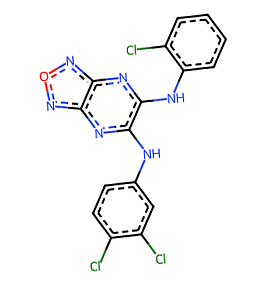 Clc1ccc(Nc2nc3nonc3nc2Nc2ccccc2Cl)cc1Cl